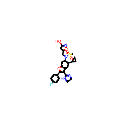 CS(=O)(=O)N(Cc1cc(O)no1)c1cc2oc(-c3ccc(F)cc3)c(-c3ncc[nH]3)c2cc1C1CC1